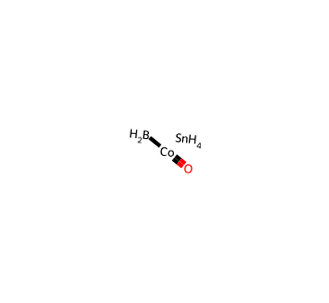 [BH2][Co]=[O].[SnH4]